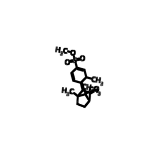 COS(=O)(=O)C1=CC(C)C(=C2C(=O)C3CCC2(C)C3(C)C)C=C1